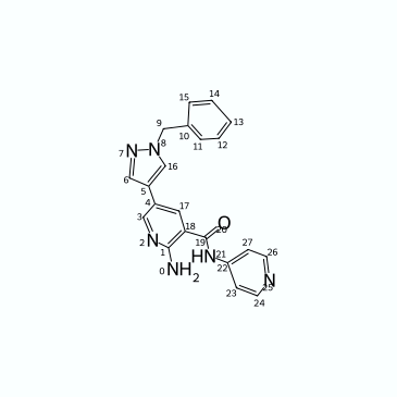 Nc1ncc(-c2cnn(Cc3ccccc3)c2)cc1C(=O)Nc1ccncc1